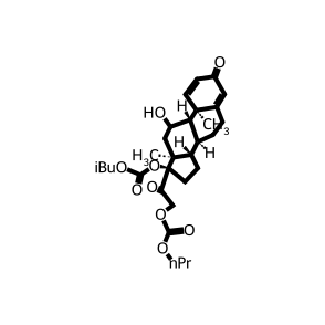 CCCOC(=O)OCC(=O)[C@@]1(OC(=O)OCC(C)C)CC[C@H]2[C@@H]3CCC4=CC(=O)C=C[C@]4(C)[C@H]3C(O)C[C@@]21C